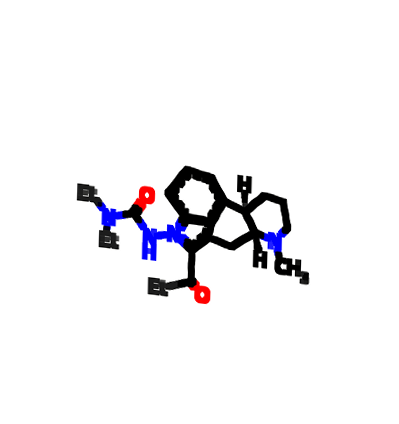 CCC(=O)c1c2c3c(cccc3n1NC(=O)N(CC)CC)[C@H]1CCCN(C)[C@@H]1C2